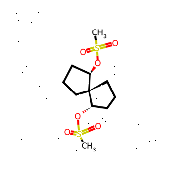 CS(=O)(=O)O[C@H]1CCC[C@]12CCC[C@H]2OS(C)(=O)=O